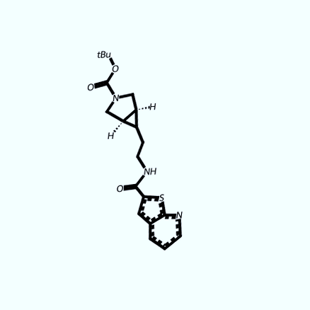 CC(C)(C)OC(=O)N1C[C@@H]2C(CCNC(=O)c3cc4cccnc4s3)[C@@H]2C1